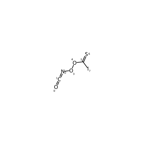 O=C=NOOC(=S)I